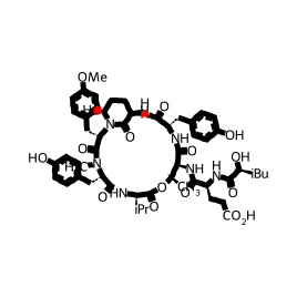 CCC(C)[C@H](O)C(=O)N[C@@H](CCC(=O)O)C(=O)N[C@@H]1C(=O)N[C@@H](Cc2ccc(O)cc2)C(=O)N[C@H]2CC[C@@H](O)N(C2=O)[C@@H](Cc2ccc(OC)cc2)C(=O)N(C)[C@@H](Cc2ccc(O)cc2)C(=O)N[C@@H](C(C)C)C(=O)O[C@@H]1C